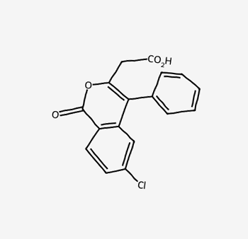 O=C(O)Cc1oc(=O)c2ccc(Cl)cc2c1-c1ccccc1